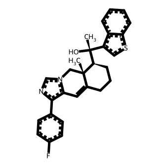 C[C@]12Cn3cnc(-c4ccc(F)cc4)c3C=C1CCC[C@@H]2[C@](C)(O)c1csc2ccccc12